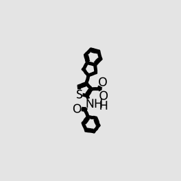 O=C(Nc1scc(C2Cc3ccccc3C2)c1C(=O)O)c1ccccc1